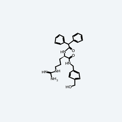 N=C(N)NCCC[C@@H](NC(=O)C(c1ccccc1)c1ccccc1)C(=O)NCc1ccc(CO)cc1